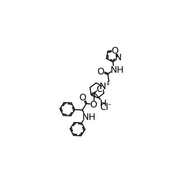 O=C(C[N+]12CCC(CC1)[C@@H](OC(=O)C(Nc1ccccc1)c1ccccc1)C2)Nc1ccon1.[Cl-]